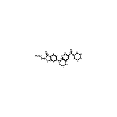 COCN1Cc2cc(N3CCCc4cc(C(=O)N5CCCCC5)cnc43)ccc2C1=O